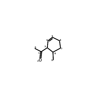 CC(=O)C1C=CCCC1C